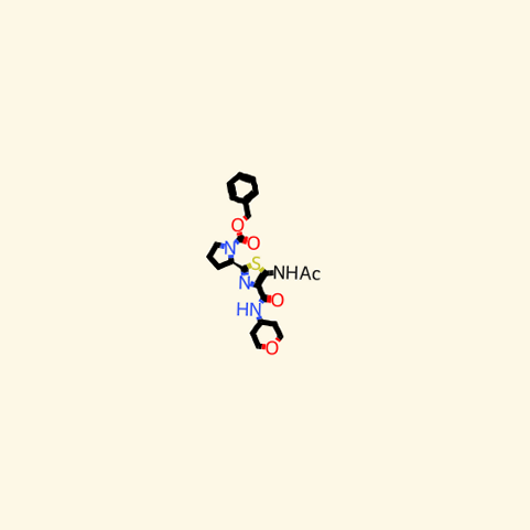 CC(=O)Nc1sc([C@H]2CCCN2C(=O)OCc2ccccc2)nc1C(=O)NC1CCOCC1